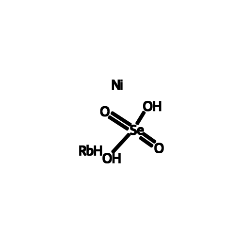 O=[Se](=O)(O)O.[Ni].[RbH]